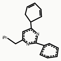 CC(C)Cc1cc(C2C=CC=CC2)nc(-c2ccccc2)n1